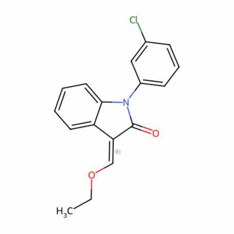 CCO/C=C1/C(=O)N(c2cccc(Cl)c2)c2ccccc21